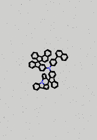 c1ccc2c(c1)-c1ccc(N(c3ccc(-c4cccc5ccccc45)cc3)c3ccc4c(c3)C3(c5ccccc5-4)c4ccccc4-n4c5ccccc5c5cccc3c54)cc1C21c2ccccc2-c2c1ccc1ccccc21